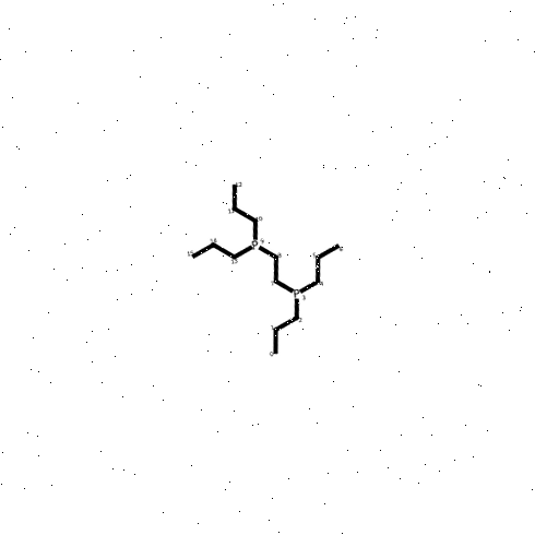 CCCP(CCC)CCP(CCC)CCC